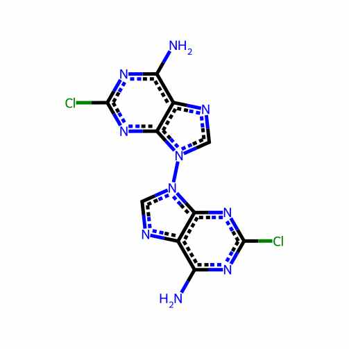 Nc1nc(Cl)nc2c1ncn2-n1cnc2c(N)nc(Cl)nc21